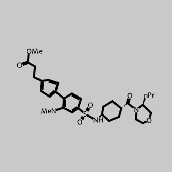 CCC[C@H]1COCCN1C(=O)[C@H]1CC[C@H](NS(=O)(=O)c2ccc(-c3ccc(CCC(=O)OC)cc3)c(NC)c2)CC1